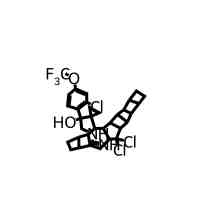 N=CNCC(O)(c1ccc(OC(F)(F)F)cc1Cl)C1(C2C3C4CCC4C3CC3C2C2C4C5C6CCC6C5C4C2C3(Cl)Cl)CC1